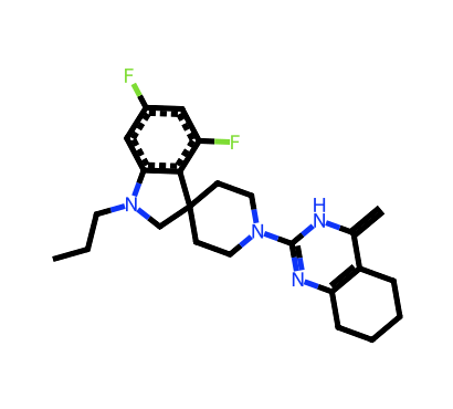 C=C1NC(N2CCC3(CC2)CN(CCC)c2cc(F)cc(F)c23)=NC2=C1CCCC2